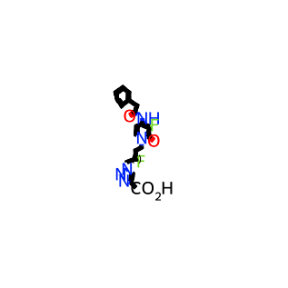 O=C(Cc1ccccc1)Nc1ccn(CC[C@H](F)Cn2cc(C(=O)O)nn2)c(=O)c1F